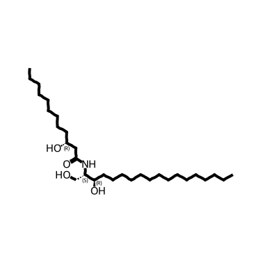 CCCCCCCCCCCCCCC[C@@H](O)[C@H](CO)NC(=O)C[C@H](O)CCCCCCCCC